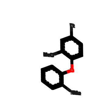 CCc1ccc(Oc2ccccc2NC)c(OC)c1